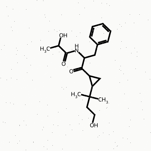 CC(O)C(=O)NC(Cc1ccccc1)C(=O)C1CC1C(C)(C)CCO